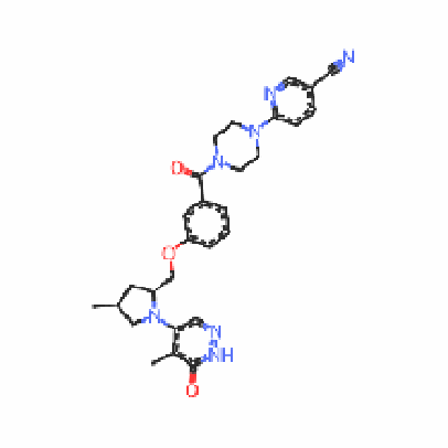 Cc1c(N2C[C@@H](C)C[C@H]2COc2cccc(C(=O)N3CCN(c4ccc(C#N)cn4)CC3)c2)cn[nH]c1=O